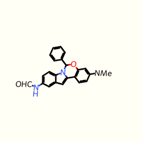 CNc1ccc2c(c1)OC(c1ccccc1)n1c-2cc2cc(NC=O)ccc21